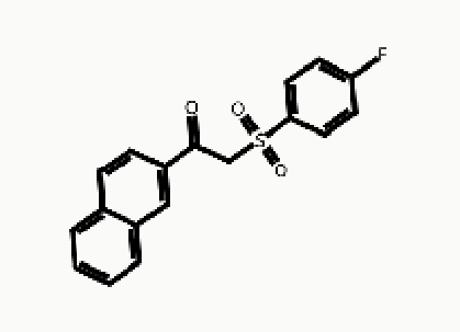 O=C(CS(=O)(=O)c1ccc(F)cc1)c1ccc2ccccc2c1